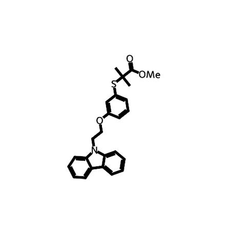 COC(=O)C(C)(C)Sc1cccc(OCCn2c3ccccc3c3ccccc32)c1